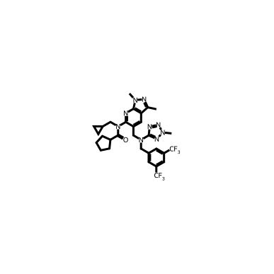 Cc1nn(C)c2nc(N(CC3CC3)C(=O)C3CCCC3)c(CN(Cc3cc(C(F)(F)F)cc(C(F)(F)F)c3)c3nnn(C)n3)cc12